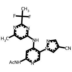 CC(=O)Nc1cc(Nc2cc(C)nc(C(C)(F)F)n2)c(-n2cc(C#N)cn2)cn1